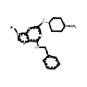 CC(C)n1cnc2c(NCc3ccccc3)nc(N[C@H]3CC[C@H](N)CC3)nc21